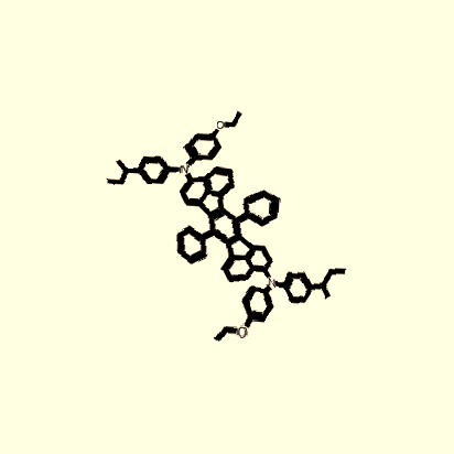 CCOc1ccc(N(c2ccc(C(C)CC)cc2)c2ccc3c4c(-c5ccccc5)c5c6cccc7c(N(c8ccc(OCC)cc8)c8ccc(C(C)CC)cc8)ccc(c5c(-c5ccccc5)c4c4cccc2c43)c76)cc1